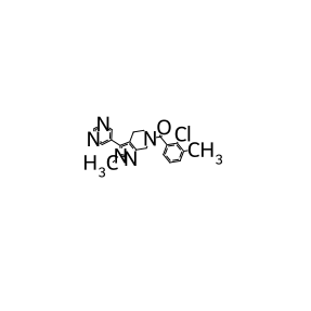 Cc1cccc(C(=O)N2CCc3c(nn(C)c3-c3cncnc3)C2)c1Cl